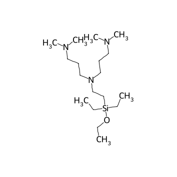 CCO[Si](CC)(CC)CCN(CCCN(C)C)CCCN(C)C